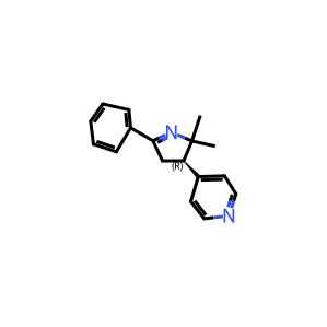 CC1(C)N=C(c2ccccc2)C[C@@H]1c1ccncc1